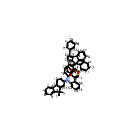 CC1(C)c2ccccc2-c2ccc(N(c3ccc(-c4ccc(-c5ccccc5)c5c4C4(c6ccccc6Sc6ccccc64)c4ccccc4-5)cc3)c3ccccc3-c3ccccc3)cc21